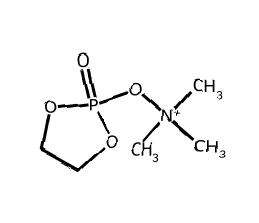 C[N+](C)(C)OP1(=O)OCCO1